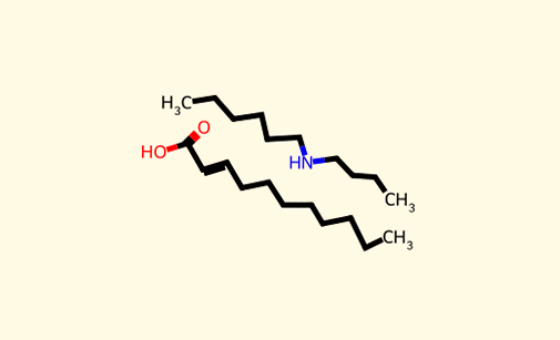 CCCCCCCCC=CC(=O)O.CCCCCCNCCCC